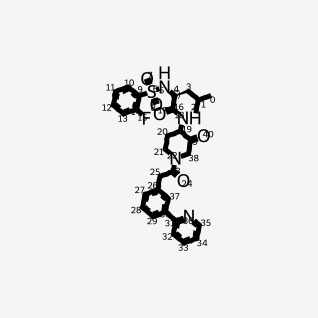 CC(C)C[C@H](NS(=O)(=O)c1ccccc1F)C(=O)NC1CCN(C(=O)Cc2cccc(-c3ccccn3)c2)CC1=O